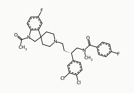 CC(=O)N1CC2(CCN(CC[C@H](CN(C)C(=O)c3ccc(F)cc3)c3ccc(Cl)c(Cl)c3)CC2)c2cc(F)ccc21